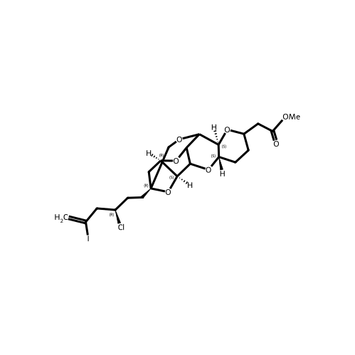 C=C(I)C[C@H](Cl)CC[C@]12COC3C4O[C@H](C1)[C@H](O2)C4O[C@H]1CCC(CC(=O)OC)O[C@H]31